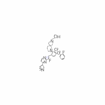 OCCN1CCC2(CCCN(c3c(/C=C(\F)c4nccc(-c5cnsc5)n4)ccc(Oc4ccccc4F)c3C(F)(F)F)C2)CC1